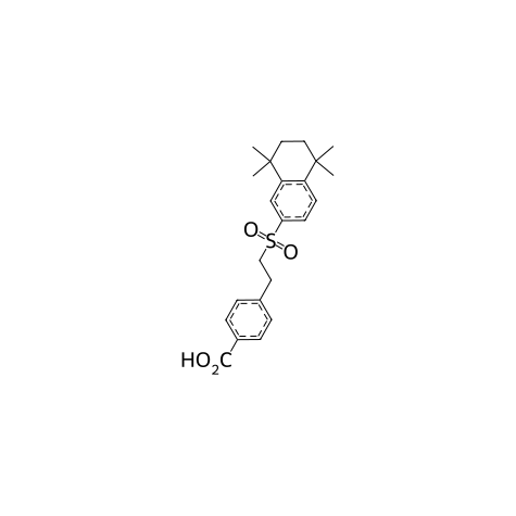 CC1(C)CCC(C)(C)c2cc(S(=O)(=O)CCc3ccc(C(=O)O)cc3)ccc21